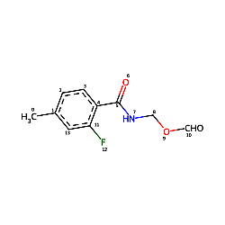 Cc1ccc(C(=O)NCOC=O)c(F)c1